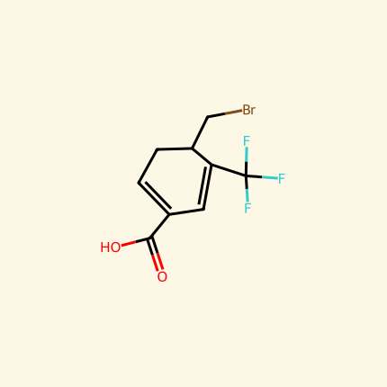 O=C(O)C1=CCC(CBr)C(C(F)(F)F)=C1